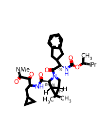 CNC(=O)C(=O)C(CC1CC1)NC(=O)[C@@H]1[C@@H]2[C@H](CN1C(=O)[C@@H](NC(=O)OC(C)C(C)C)C1Cc3ccccc3C1)C2(C)C